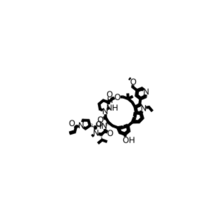 C=CC(=O)N1CC[C@H](C(=O)N(C)[C@H](C(=O)N[C@H]2Cc3cc(O)cc(c3)-c3ccc4c(c3)c(c(-c3cncc(COC)c3)n4CC)CC(C)(C)COC(=O)[C@@H]3CCCN(N3)C2=O)C(C)C)C1